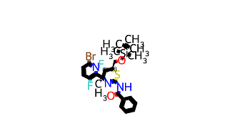 CC(C)(C)[Si](C)(C)OC[C@H]1SC(NC(=O)c2ccccc2)=N[C@](C)(c2nc(Br)ccc2F)[C@H]1F